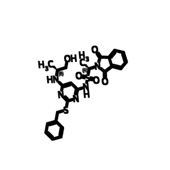 C[C@H](CO)Nc1cc(NS(=O)(=O)[C@H](C)N2C(=O)c3ccccc3C2=O)nc(SCc2ccccc2)n1